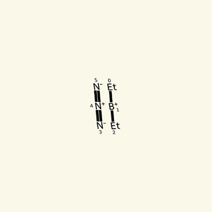 CC[B+]CC.[N-]=[N+]=[N-]